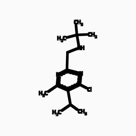 Cc1nc(CNC(C)(C)C)nc(Cl)c1C(C)C